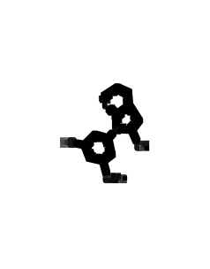 COc1cc(O)cc(-n2c(C#N)cc3ccccc32)c1